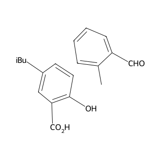 CCC(C)c1ccc(O)c(C(=O)O)c1.Cc1ccccc1C=O